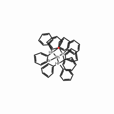 [Br][Rh]([PH](c1ccccc1)(c1ccccc1)c1ccccc1)([PH](c1ccccc1)(c1ccccc1)c1ccccc1)[PH](c1ccccc1)(c1ccccc1)c1ccccc1